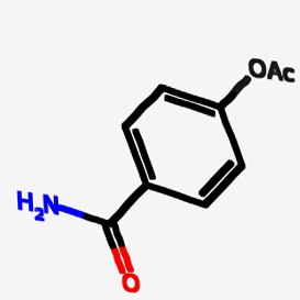 CC(=O)Oc1ccc(C(N)=O)cc1